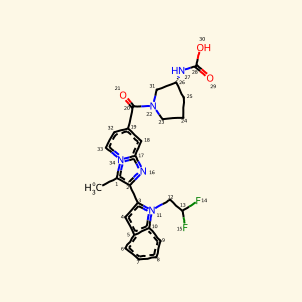 Cc1c(-c2cc3ccccc3n2CC(F)F)nc2cc(C(=O)N3CCC[C@@H](NC(=O)O)C3)ccn12